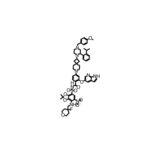 COc1ccc(CN2CCN(C3CC4(CCN(c5ccc(C(=O)NS(=O)(=O)c6cc([N+](=O)[O-])c(NCC7(F)CCOCC7)c7c6OC(C)(C)O7)c(Oc6cnc7[nH]ccc7c6)c5)CC4)C3)C(c3ccccc3C(C)C)C2)cc1